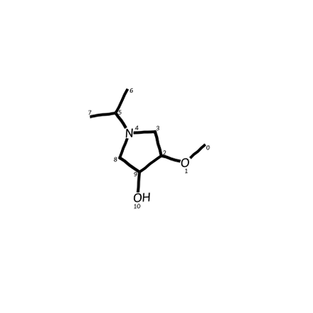 COC1CN(C(C)C)CC1O